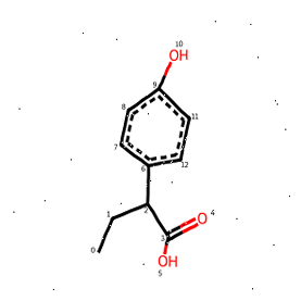 CCC(C(=O)O)c1ccc(O)cc1